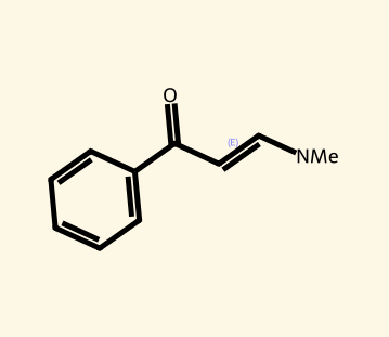 CN/C=C/C(=O)c1ccccc1